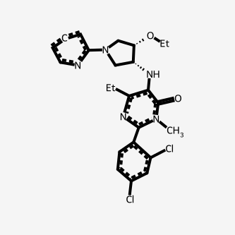 CCO[C@H]1CN(c2ccccn2)C[C@H]1Nc1c(CC)nc(-c2ccc(Cl)cc2Cl)n(C)c1=O